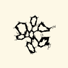 N#Cc1ccc(-c2c(-c3ccc(Cl)cc3)c(-c3ccccc3)c3c(c2-c2ccccc2)-c2cccc4cccc-3c24)cc1